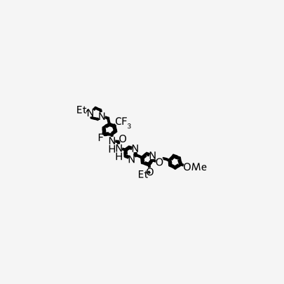 CCOc1cc(-c2ncc(NC(=O)Nc3cc(C(F)(F)F)c(CN4CCN(CC)CC4)cc3F)cn2)cnc1OCc1ccc(OC)cc1